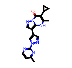 Cc1ccnc(-n2cc(-c3cnn4c(=O)c(C5CC5)c(C)[nH]c34)cn2)n1